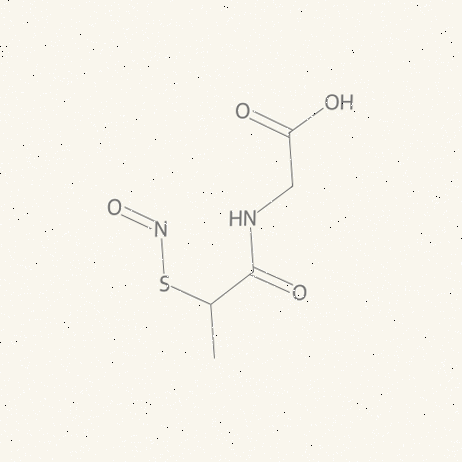 CC(SN=O)C(=O)NCC(=O)O